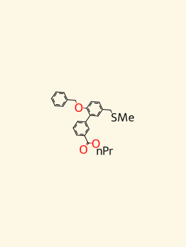 CCCOC(=O)c1cccc(-c2cc(CSC)ccc2OCc2ccccc2)c1